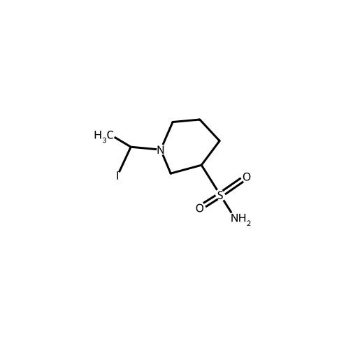 CC(I)N1CCCC(S(N)(=O)=O)C1